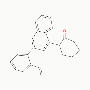 C=Cc1ccccc1-c1cc(C2CCCCC2=O)c2ccccc2c1